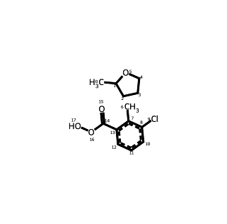 CC1CCCO1.Cc1c(Cl)cccc1C(=O)OO